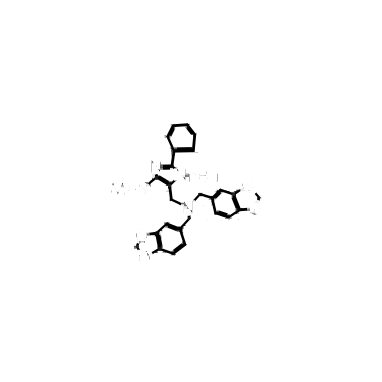 CCCCn1c(-c2ccccc2)nc(SC)c1CN(Cc1ccc2c(c1)OCO2)Cc1ccc2c(c1)OCO2